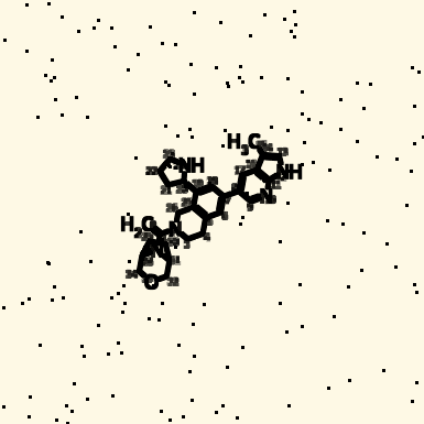 C=C(N1CCc2cc(-c3cnc4[nH]cc(C)c4c3)cc(C3CCCN3)c2C1)N1C2CCC1COC2